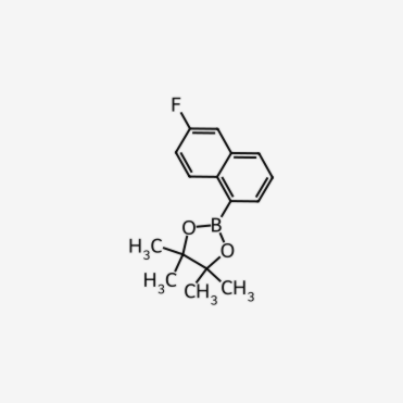 CC1(C)OB(c2cccc3cc(F)ccc23)OC1(C)C